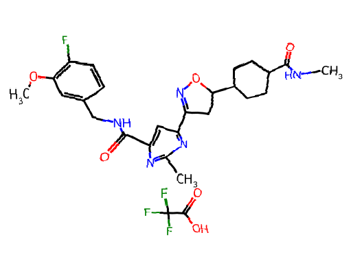 CNC(=O)C1CCC(C2CC(c3cc(C(=O)NCc4ccc(F)c(OC)c4)nc(C)n3)=NO2)CC1.O=C(O)C(F)(F)F